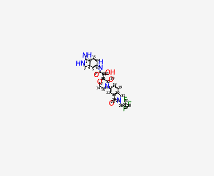 N=C1NCc2cc(NC(=O)[C@H](O)[C@H]3OCCN(c4ccc5c(c4)C(=O)N(CC(F)(F)F)C5)C3=O)ccc21